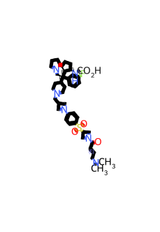 CN(C)C/C=C/C(=O)N1CC(S(=O)(=O)c2ccc(N3CC(CN4CCC([C@@](CN5CCCC5)(c5cccc(F)c5)[C@H]5CCC[C@@H]5NC(=O)O)CC4)C3)cc2)C1